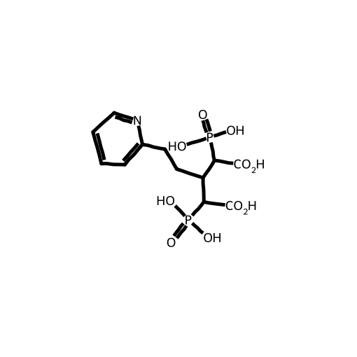 O=C(O)C(C(CCc1ccccn1)C(C(=O)O)P(=O)(O)O)P(=O)(O)O